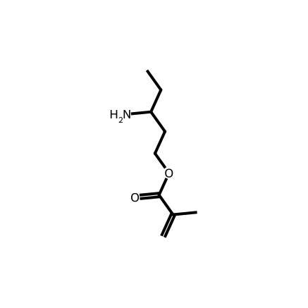 C=C(C)C(=O)OCCC(N)CC